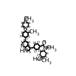 Cc1cc(-c2cnc3[nH]cc(-c4ccc(C(=O)N(C)[C@H]5CC[C@@](C)(O)CC5)cc4)c3c2)ccc1N1CCN(C)CC1